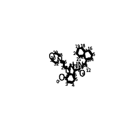 COc1cccc2c(C(=O)N[C@@H](C)c3cccc4ccccc34)nn(CCN3CCOCC3)c12